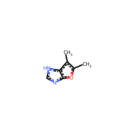 Cc1oc2nc[nH]c2c1C